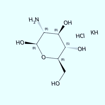 Cl.N[C@@H]1[C@@H](O)[C@H](O)[C@@H](CO)O[C@H]1O.[KH]